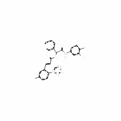 Cc1cc(NC(=O)C(NC(=O)/C=C/c2cc(Cl)ccc2-n2cnnn2)c2ccccc2)ccc1F